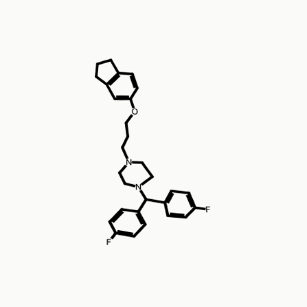 Fc1ccc(C(c2ccc(F)cc2)N2CCN(CCCOc3ccc4c(c3)CCC4)CC2)cc1